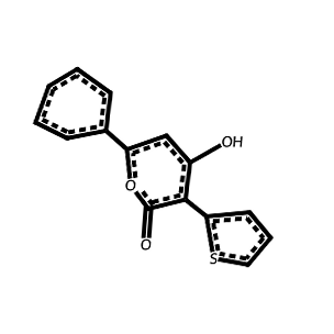 O=c1oc(-c2ccccc2)cc(O)c1-c1cccs1